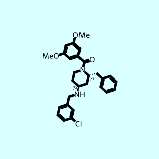 COc1cc(OC)cc(C(=O)N2CC[C@H](NCc3cccc(Cl)c3)C[C@H]2Cc2ccccc2)c1